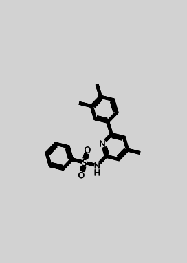 Cc1cc(NS(=O)(=O)c2ccccc2)nc(-c2ccc(C)c(C)c2)c1